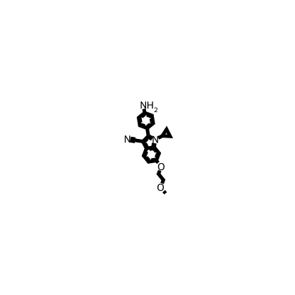 COCCOc1ccc2c(C#N)c(-c3ccc(N)cc3)n(C3CC3)c2c1